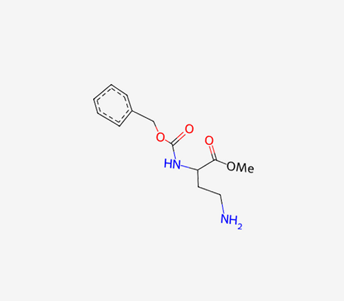 COC(=O)C(CCN)NC(=O)OCc1ccccc1